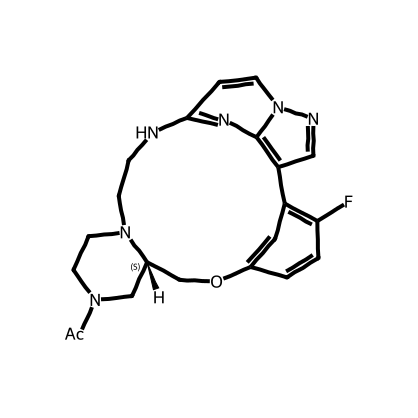 CC(=O)N1CCN2CCNc3ccn4ncc(c4n3)-c3cc(ccc3F)OC[C@@H]2C1